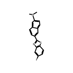 CN(C)c1ccc2cc(-c3nc4cc(F)ccc4s3)ccc2c1